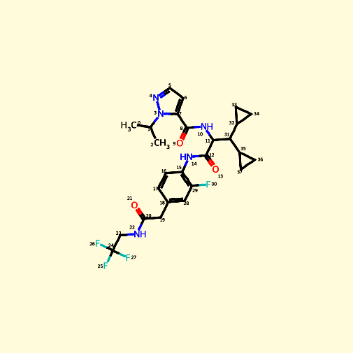 CC(C)n1nccc1C(=O)NC(C(=O)Nc1ccc(CC(=O)NCC(F)(F)F)cc1F)C(C1CC1)C1CC1